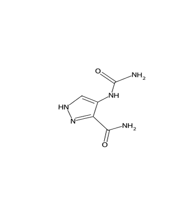 NC(=O)Nc1c[nH]nc1C(N)=O